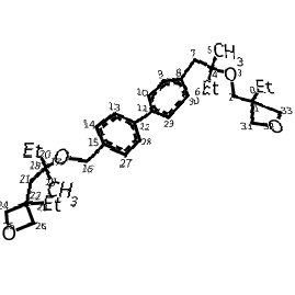 CCC1(COC(C)(CC)Cc2ccc(-c3ccc(COC(C)(CC)CC4(CC)COC4)cc3)cc2)COC1